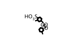 Cc1cccc(S(=O)(=O)OCc2ccc(S(=O)(=O)O)c(C)c2)c1